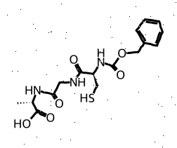 C[C@H](NC(=O)CNC(=O)[C@H](CS)NC(=O)OCc1ccccc1)C(=O)O